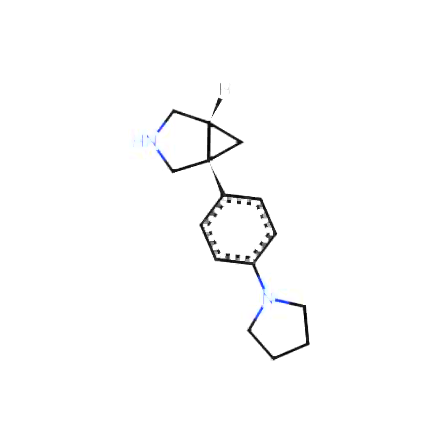 c1cc([C@@]23CNC[C@@H]2C3)ccc1N1CCCC1